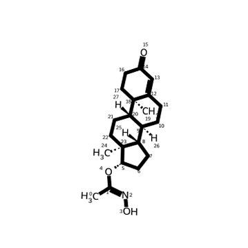 CC(=NO)O[C@H]1CC[C@H]2[C@@H]3CCC4=CC(=O)CC[C@]4(C)[C@H]3CC[C@]12C